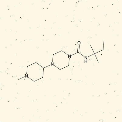 CCC(C)(C)NC(=O)N1CCN(C2CCN(C)CC2)CC1